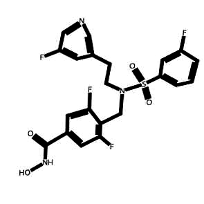 O=C(NO)c1cc(F)c(CN(CCc2cncc(F)c2)S(=O)(=O)c2cccc(F)c2)c(F)c1